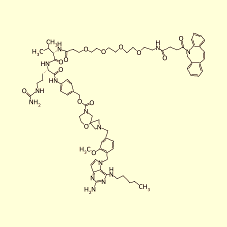 CCCCCNc1nc(N)nc2ccn(Cc3ccc(CN4CC5(C4)CN(C(=O)OCc4ccc(NC(=O)[C@H](CCCNC(N)=O)NC(=O)[C@@H](NC(=O)CCOCCOCCOCCOCCNC(=O)CCC(=O)N6Cc7ccccc7/C=C\c7ccccc76)C(C)C)cc4)CCO5)cc3OC)c12